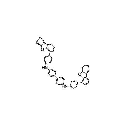 c1ccc2c(c1)oc1c(-c3ccc(Nc4ccc(-c5ccc(Nc6ccc(-c7cccc8c7oc7ccccc78)cc6)cc5)cc4)cc3)cccc12